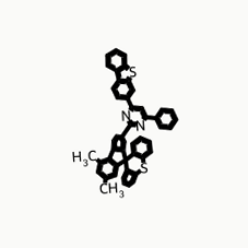 Cc1cc(C)c2c(c1)C1(c3ccccc3Sc3ccccc31)c1cc(-c3nc(-c4ccccc4)cc(-c4ccc5c(c4)sc4ccccc45)n3)ccc1-2